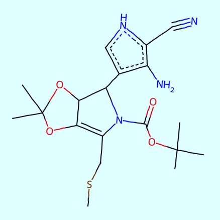 CSCC1=C2OC(C)(C)OC2C(c2c[nH]c(C#N)c2N)N1C(=O)OC(C)(C)C